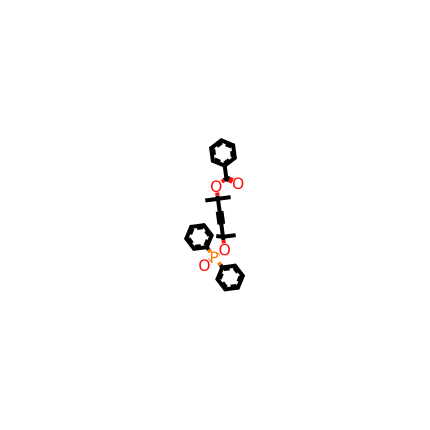 CC(C)(C#CC(C)(C)OP(=O)(c1ccccc1)c1ccccc1)OC(=O)c1ccccc1